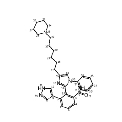 NC(=O)c1cccc(-c2cn[nH]c2)c1-c1nc(CCCCCCN2CCCCC2)cn1-c1ccccc1